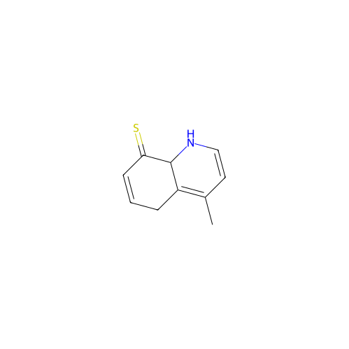 CC1=C2CC=CC(=S)C2NC=C1